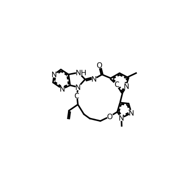 C=CC1CCCOc2c(cnn2C)-c2cc(cc(C)n2)C(=O)/N=C2\Nc3cncnc3N2C1